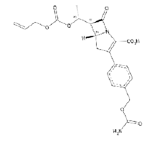 C=CCOC(=O)O[C@H](C)[C@H]1C(=O)N2C(C(=O)O)=C(c3ccc(COC(N)=O)cc3)C[C@H]12